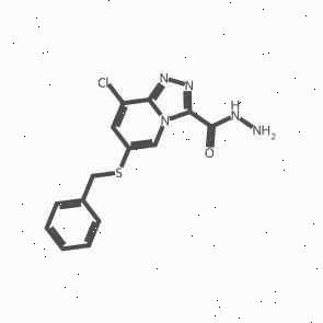 NNC(=O)c1nnc2c(Cl)cc(SCc3ccccc3)cn12